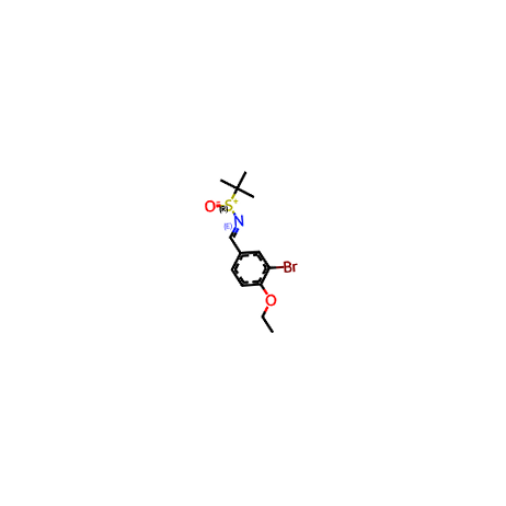 CCOc1ccc(/C=N/[S@@+]([O-])C(C)(C)C)cc1Br